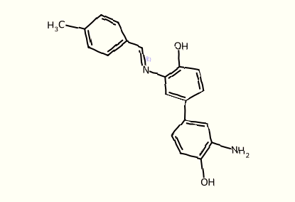 Cc1ccc(/C=N/c2cc(-c3ccc(O)c(N)c3)ccc2O)cc1